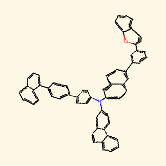 c1cc(-c2ccc3cc(N(c4ccc(-c5ccc(-c6cccc7ccccc67)cc5)cc4)c4ccc5c(ccc6ccccc65)c4)ccc3c2)cc(-c2cc3ccccc3o2)c1